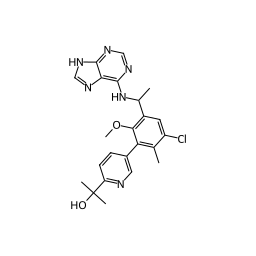 COc1c(C(C)Nc2ncnc3[nH]cnc23)cc(Cl)c(C)c1-c1ccc(C(C)(C)O)nc1